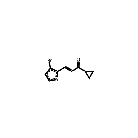 O=C(C=Cc1sccc1Br)C1CC1